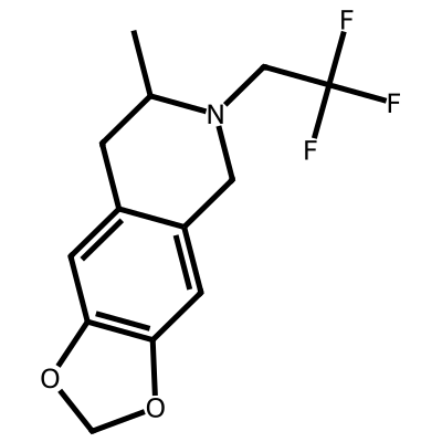 CC1Cc2cc3c(cc2CN1CC(F)(F)F)OCO3